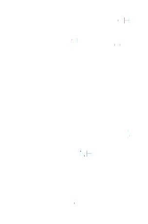 COC(=O)C1=CC(=S)C(Nc2ccccc2Cl)C=C1